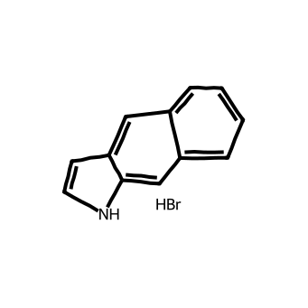 Br.c1ccc2cc3[nH]ccc3cc2c1